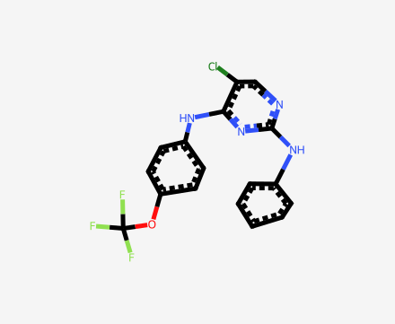 FC(F)(F)Oc1ccc(Nc2nc(Nc3ccccc3)ncc2Cl)cc1